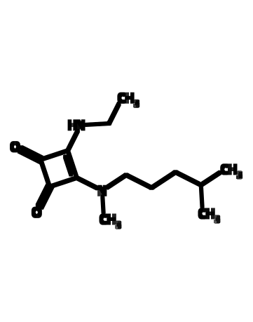 CCNc1c(N(C)CCCC(C)C)c(=O)c1=O